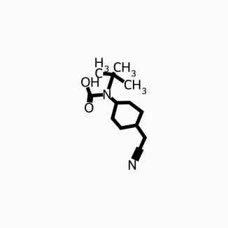 CC(C)(C)N(C(=O)O)C1CCC(CC#N)CC1